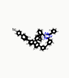 N#Cc1ccc(-c2ccc(-c3ccc4c(c3)C3(c5cc(-c6cccc(-c7cccc(-c8nc(-c9ccccc9)nc(-c9ccccc9)n8)c7)c6)ccc5-4)C4CC5CC(C4)CC3C5)cc2)cc1